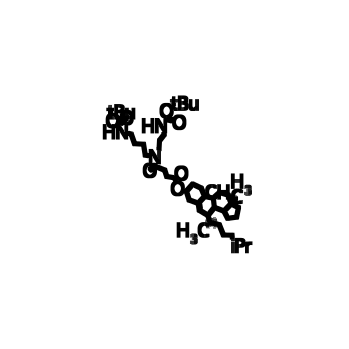 CC(C)CCC[C@@H](C)C1C=C2CC(OC(=O)CCC(=O)N(CCCCNC(=O)OC(C)(C)C)CCCNC(=O)OC(C)(C)C)CCC2(C)C2CCC3(C)CCCC3C12